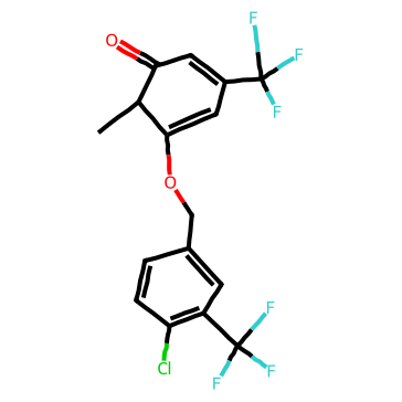 CC1C(=O)C=C(C(F)(F)F)C=C1OCc1ccc(Cl)c(C(F)(F)F)c1